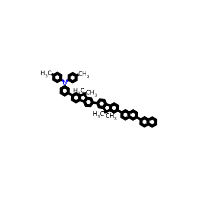 Cc1ccc(N(c2ccc(C)cc2)c2cccc(-c3ccc4c(c3)C(C)(C)c3cc(-c5ccc6c(c5)C(C)(C)c5cc(-c7ccc8cc(-c9ccc%10ccccc%10c9)ccc8c7)ccc5-6)ccc3-4)c2)cc1